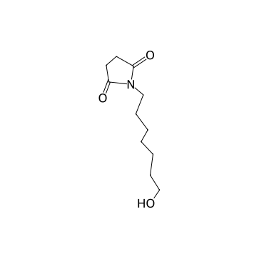 O=C1CCC(=O)N1CCCCCCCO